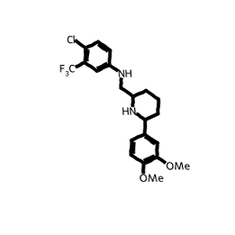 COc1ccc(C2CCCC(CNc3ccc(Cl)c(C(F)(F)F)c3)N2)cc1OC